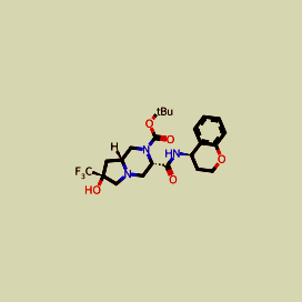 CC(C)(C)OC(=O)N1C[C@H]2C[C@](O)(C(F)(F)F)CN2C[C@H]1C(=O)N[C@@H]1CCOc2ccccc21